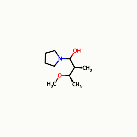 CO[C@H](C)[C@H](C)C(O)N1CCCC1